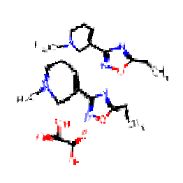 CCc1nc(C2=CCCN(C)C2)no1.CCc1nc(C2=CCCN(C)C2)no1.O=C(O)C(=O)O